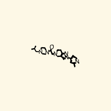 Cc1cc(-n2cc3c(n2)CCN(CC(=O)N2CCN(CC(C)C)CC2)C3)ccn1